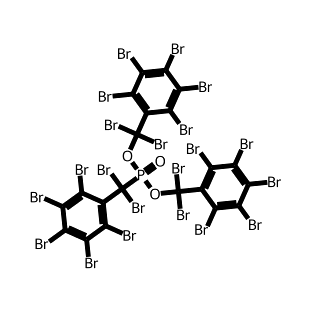 O=P(OC(Br)(Br)c1c(Br)c(Br)c(Br)c(Br)c1Br)(OC(Br)(Br)c1c(Br)c(Br)c(Br)c(Br)c1Br)C(Br)(Br)c1c(Br)c(Br)c(Br)c(Br)c1Br